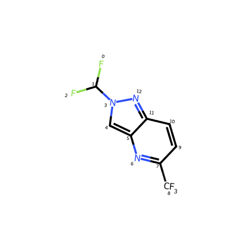 FC(F)n1cc2nc(C(F)(F)F)ccc2n1